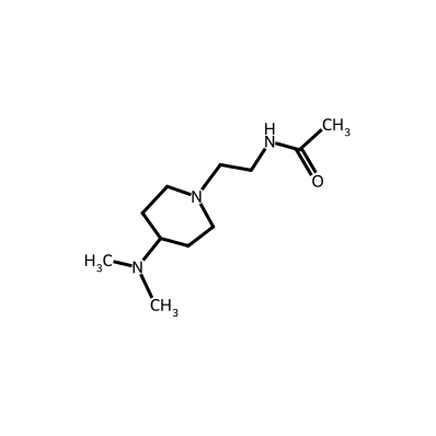 CC(=O)NCCN1CCC(N(C)C)CC1